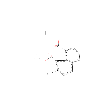 COC(=O)c1cccc2ccc(C)c(C(=O)OC)c12